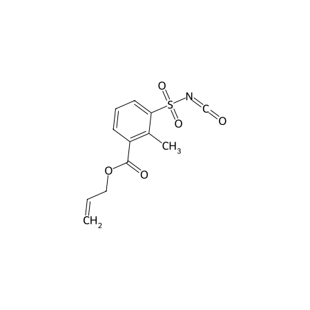 C=CCOC(=O)c1cccc(S(=O)(=O)N=C=O)c1C